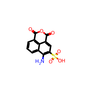 Nc1c(S(=O)(=O)O)cc2c3c(cccc13)C(=O)OC2=O